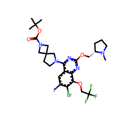 CN1CCC[C@H]1COc1nc(N2CCC3(CN(C(=O)OC(C)(C)C)C3)C2)c2cc(I)c(Br)c(OCC(F)(F)F)c2n1